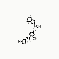 CC1(C)CCC(C)(C)c2cc(C(O)COc3ccc(C(=O)NC4CNCCO4)c(O)c3)ccc21